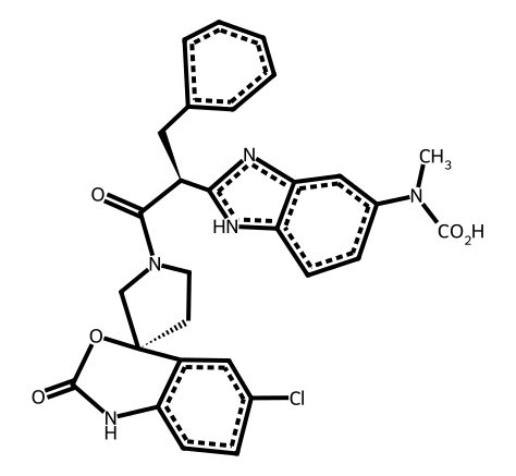 CN(C(=O)O)c1ccc2[nH]c([C@H](Cc3ccccc3)C(=O)N3CC[C@@]4(C3)OC(=O)Nc3ccc(Cl)cc34)nc2c1